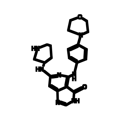 O=c1[nH]cnc2cc(N[C@H]3CCCNC3)nc(Nc3ccc(N4CCOCC4)cc3)c12